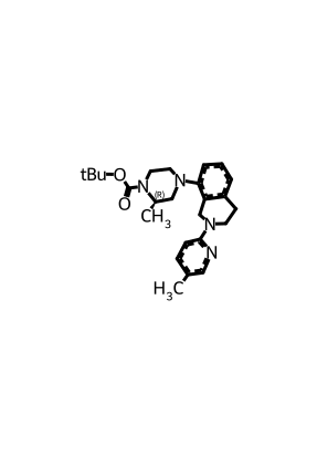 Cc1ccc(N2CCc3cccc(N4CCN(C(=O)OC(C)(C)C)[C@H](C)C4)c3C2)nc1